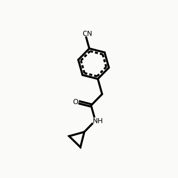 N#Cc1ccc(CC(=O)NC2CC2)cc1